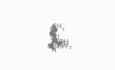 COc1cccc(-c2cccc3c2CC[C@@H]3Oc2cc(OCc3cncc(C#N)c3)c(CN[C@H](C(=O)O)[C@@H](C)O)cc2Cl)c1F